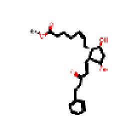 CCCCOC(=O)CCC/C=C\C[C@@H]1C(/C=C/C(=O)CCc2ccccc2)[C@H](O)C[C@@H]1O